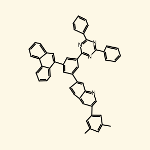 Cc1cc(C)cc(-c2cnc3cc(-c4cc(-c5nc(-c6ccccc6)nc(-c6ccccc6)n5)cc(-c5cc6ccccc6c6ccccc56)c4)ccc3c2)c1